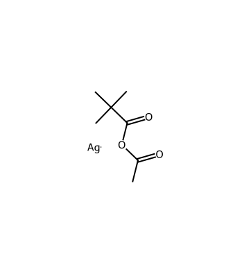 CC(=O)OC(=O)C(C)(C)C.[Ag]